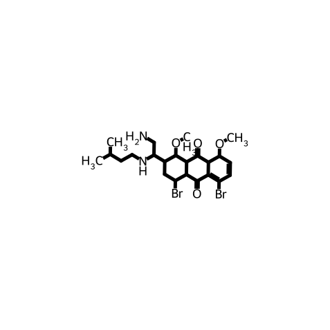 COC1C=CC(Br)=C2C(=O)C3C(Br)CC(C(CN)NCCC(C)C)C(OC)C3C(=O)C21